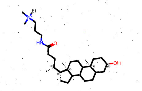 CC[N+](C)(C)CCCNC(=O)CC[C@@H](C)[C@H]1CCC2C3CCC4C[C@H](O)CC[C@]4(C)C3CC[C@@]21C.[I-]